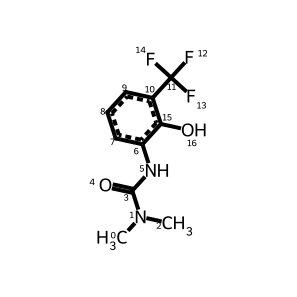 CN(C)C(=O)Nc1cccc(C(F)(F)F)c1O